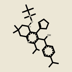 CC(C)c1ccc(C(O)c2c(C(C)C)nc3c(c2C2=CCCC2)[C@H](O[Si](C)(C)C(C)(C)C)CC(C)(C)C3)cc1